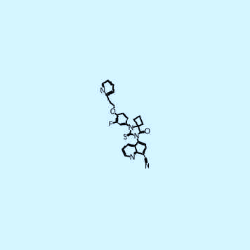 N#Cc1ccc(N2C(=O)C3(CCC3)N(c3ccc(OCCc4ccccn4)c(F)c3)C2=S)c2cccnc12